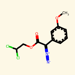 COc1cccc(C(=[N+]=[N-])C(=O)OCC(Cl)Cl)c1